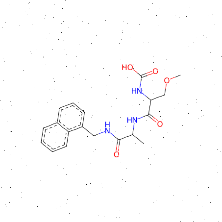 COCC(NC(=O)O)C(=O)NC(C)C(=O)NCc1cccc2ccccc12